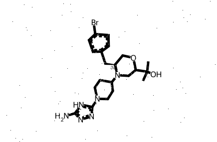 CC(C)(O)C1CN(C2CCN(c3nnc(N)[nH]3)CC2)[C@@H](Cc2ccc(Br)cc2)CO1